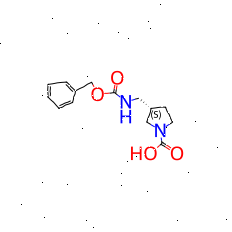 O=C(NC[C@@H]1CCN(C(=O)O)C1)OCc1ccccc1